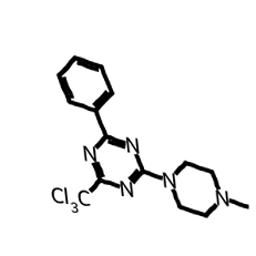 CN1CCN(c2nc(-c3ccccc3)nc(C(Cl)(Cl)Cl)n2)CC1